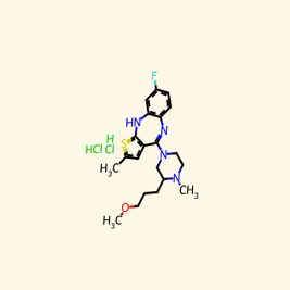 COCCCC1CN(C2=Nc3ccc(F)cc3Nc3sc(C)cc32)CCN1C.Cl.Cl